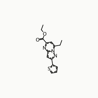 CCOC(=O)c1cc(CC)n2nc(-c3cccs3)cc2n1